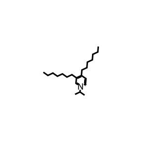 CCCCCCCc1cc[n+](C(C)C)cc1CCCCCCC